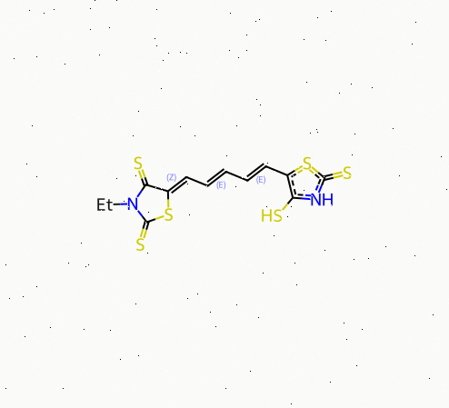 CCN1C(=S)S\C(=C/C=C/C=C/c2sc(=S)[nH]c2S)C1=S